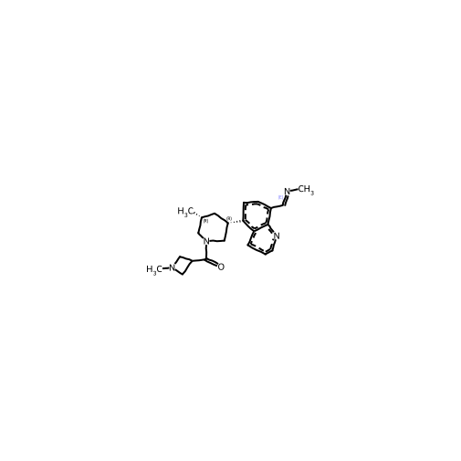 C/N=C/c1ccc([C@H]2C[C@@H](C)CN(C(=O)C3CN(C)C3)C2)c2cccnc12